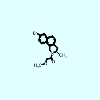 COCC(=O)N1Cc2c(ccc3cc(Br)ccc23)C[C@H]1C